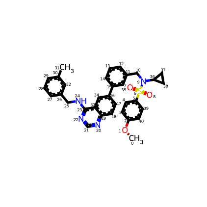 COc1ccc(S(=O)(=O)N(Cc2cccc(-c3ccc4ncnc(NCc5cccc(C)c5)c4c3)c2)C2CC2)cc1